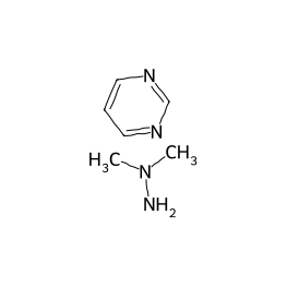 CN(C)N.c1cncnc1